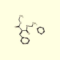 CCOC(=O)C(=Cc1ccccc1)C(=O)OCC.c1ccccc1